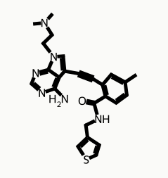 Cc1ccc(C(=O)NCc2ccsc2)c(C#Cc2cn(CCN(C)C)c3ncnc(N)c23)c1